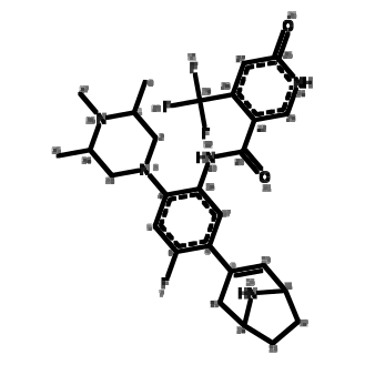 CC1CN(c2cc(F)c(C3=CC4CCC(C3)N4)cc2NC(=O)c2c[nH]c(=O)cc2C(F)(F)F)CC(C)N1C